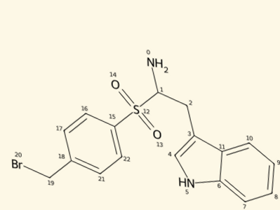 NC(Cc1c[nH]c2ccccc12)S(=O)(=O)c1ccc(CBr)cc1